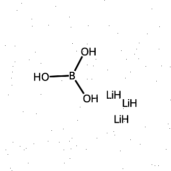 OB(O)O.[LiH].[LiH].[LiH]